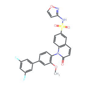 COc1cc(-c2cc(F)cc(F)c2)ccc1-n1c(=O)ccc2cc(S(=O)(=O)Nc3ccon3)ccc21